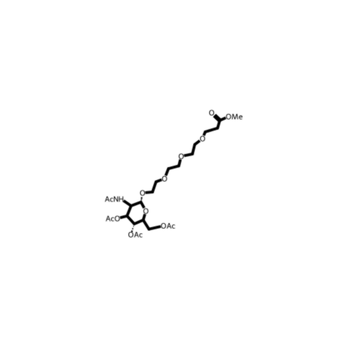 COC(=O)CCOCCOCCOCCO[C@@H]1OC(COC(C)=O)[C@H](OC(C)=O)C(OC(C)=O)C1NC(C)=O